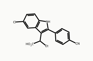 CCC(C(=O)O)c1c(-c2ccc(C#N)cc2)[nH]c2ccc(Cl)cc12